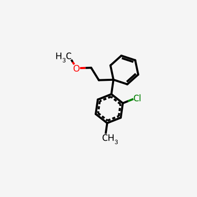 COCCC1(c2ccc(C)cc2Cl)C=CC=CC1